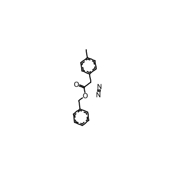 Cc1ccc(CC(=O)OCc2ccccc2)cc1.N#N